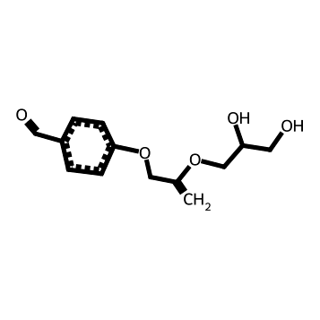 C=C(COc1ccc(C=O)cc1)OCC(O)CO